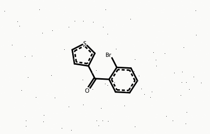 O=C(c1ccsc1)c1ccccc1Br